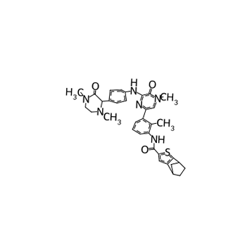 Cc1c(NC(=O)c2cc3c(s2)C2CCC3C2)cccc1-c1cn(C)c(=O)c(Nc2ccc(C3C(=O)N(C)CCN3C)cc2)n1